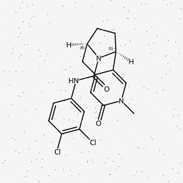 Cn1cc2c(cc1=O)C[C@H]1CC[C@@H]2N1C(=O)Nc1ccc(Cl)c(Cl)c1